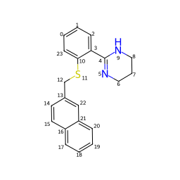 c1ccc(C2=NCCCN2)c(SCc2ccc3ccccc3c2)c1